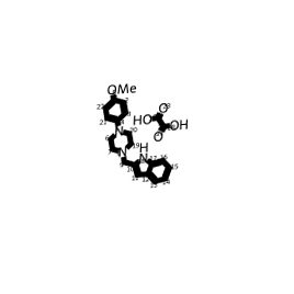 COc1ccc(N2CCN(Cc3cc4ccccc4[nH]3)CC2)cc1.O=C(O)C(=O)O